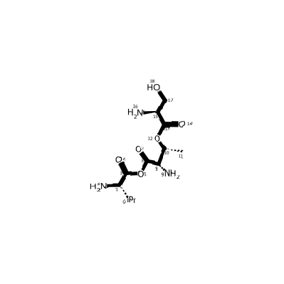 CC(C)[C@H](N)C(=O)OC(=O)[C@@H](N)[C@@H](C)OC(=O)[C@@H](N)CO